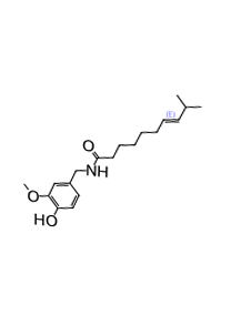 COc1cc(CNC(=O)CCCCC/C=C/C(C)C)ccc1O